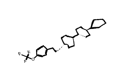 FC(F)(F)Oc1ccc(CC[C@H]2CC[C@H]([C@H]3CC[C@H](C4CCCC4)CC3)CC2)cc1